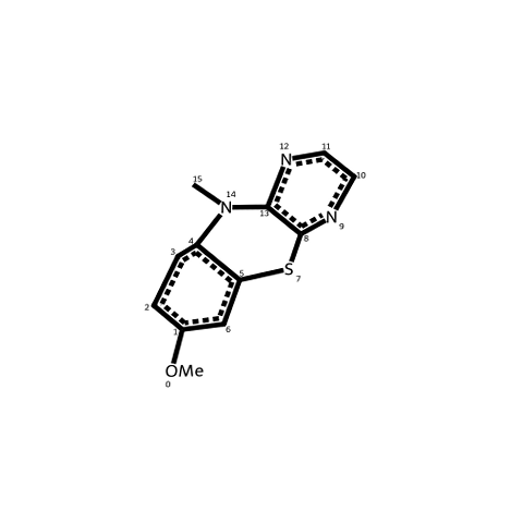 COc1ccc2c(c1)Sc1nccnc1N2C